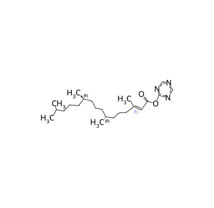 C/C(=C\C(=O)Oc1ncncn1)CCC[C@H](C)CCC[C@H](C)CCCC(C)C